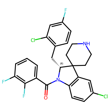 O=C(c1cccc(F)c1F)N1c2ccc(Cl)cc2C2(CCNCC2)[C@H]1Cc1ccc(F)cc1Cl